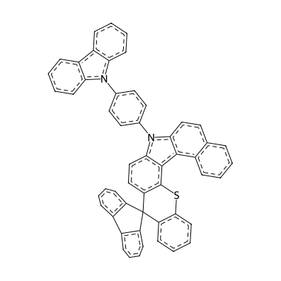 c1ccc2c(c1)Sc1c(ccc3c1c1c4ccccc4ccc1n3-c1ccc(-n3c4ccccc4c4ccccc43)cc1)C21c2ccccc2-c2ccccc21